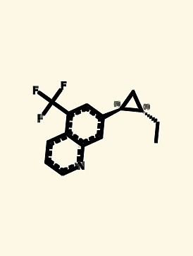 CC[C@H]1C[C@@H]1c1cc(C(F)(F)F)c2cccnc2c1